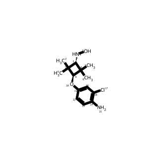 CC1(C)[C@H](NO)C(C)(C)[C@H]1Oc1ccc(N)c(Cl)c1